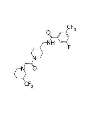 O=C(NCC1CCN(C(=O)CN2CCCC(C(F)(F)F)C2)CC1)c1cc(F)cc(C(F)(F)F)c1